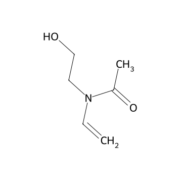 C=CN(CCO)C(C)=O